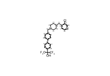 OC(c1ccc(-c2ccc(CN3CCN(Cc4ccncc4Cl)CC3)cc2)cc1)(C(F)(F)F)C(F)(F)F